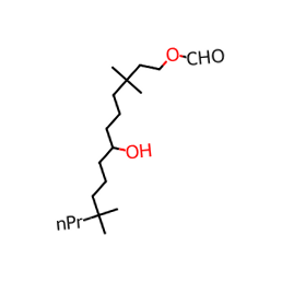 CCCC(C)(C)CCCC(O)CCCC(C)(C)CCOC=O